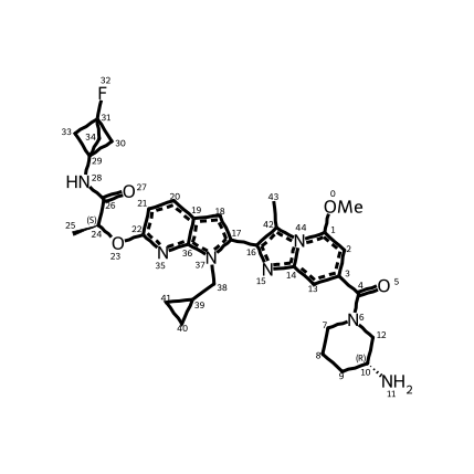 COc1cc(C(=O)N2CCC[C@@H](N)C2)cc2nc(-c3cc4ccc(O[C@@H](C)C(=O)NC56CC(F)(C5)C6)nc4n3CC3CC3)c(C)n12